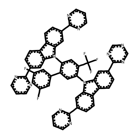 Fc1cc(F)cc(-c2cc(-n3c4cc(-c5ncccn5)ccc4c4ccc(-c5ncncn5)cc43)c(C(F)(F)F)cc2-n2c3cc(-c4ncccn4)ccc3c3ccc(-c4ncccn4)cc32)c1